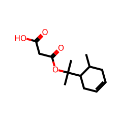 CC1CC=CCC1C(C)(C)OC(=O)CC(=O)O